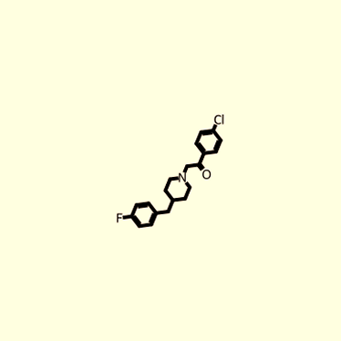 O=C(CN1CCC(Cc2ccc(F)cc2)CC1)c1ccc(Cl)cc1